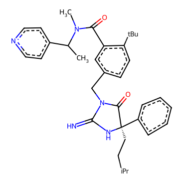 CC(C)CC[C@]1(c2ccccc2)NC(=N)N(Cc2ccc(C(C)(C)C)c(C(=O)N(C)C(C)c3ccncc3)c2)C1=O